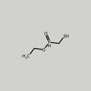 CCO[PH](=O)CS